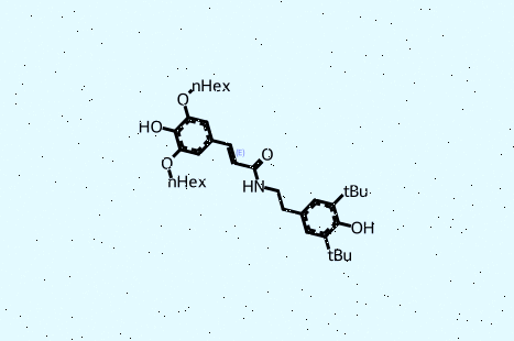 CCCCCCOc1cc(/C=C/C(=O)NCCc2cc(C(C)(C)C)c(O)c(C(C)(C)C)c2)cc(OCCCCCC)c1O